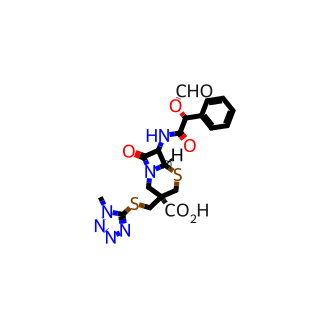 Cn1nnnc1SCC1(C(=O)O)CS[C@@H]2C(NC(=O)C(OC=O)c3ccccc3)C(=O)N2C1